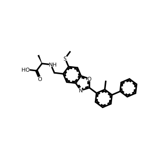 CSc1cc2oc(-c3cccc(-c4ccccc4)c3C)nc2cc1CN[C@H](C)C(=O)O